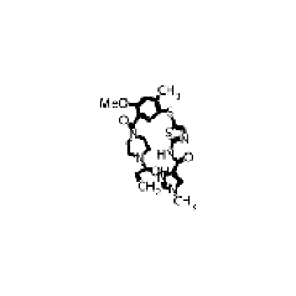 C=CC(O)N1CCN(C(=O)c2cc(Sc3cnc(NC(=O)c4cn(C)cn4)s3)c(C)cc2OC)CC1